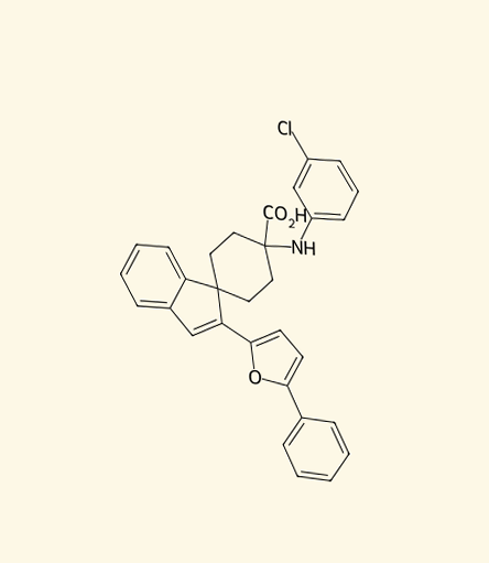 O=C(O)C1(Nc2cccc(Cl)c2)CCC2(CC1)C(c1ccc(-c3ccccc3)o1)=Cc1ccccc12